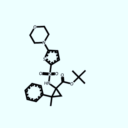 CC(C)(C)OC(=O)C1(NS(=O)(=O)c2ccc(N3CCOCC3)s2)CC1(C)c1ccccc1